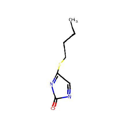 CCCCSC1=NC(=O)N=C1